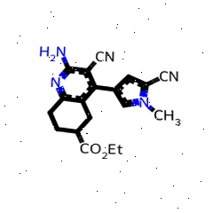 CCOC(=O)C1CCc2nc(N)c(C#N)c(-c3cc(C#N)n(C)c3)c2C1